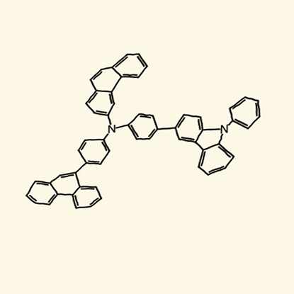 c1ccc(-n2c3ccccc3c3cc(-c4ccc(N(c5ccc(-c6cc7ccccc7c7ccccc67)cc5)c5ccc6ccc7ccccc7c6c5)cc4)ccc32)cc1